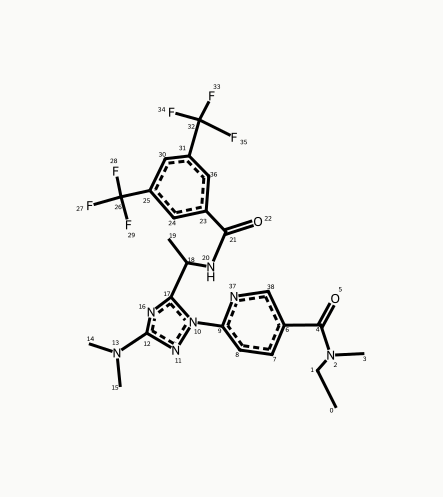 CCN(C)C(=O)c1ccc(-n2nc(N(C)C)nc2C(C)NC(=O)c2cc(C(F)(F)F)cc(C(F)(F)F)c2)nc1